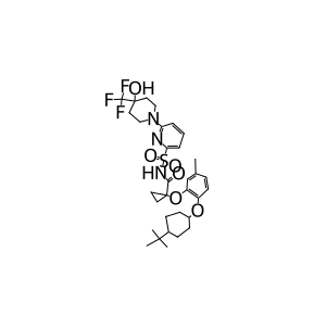 Cc1ccc(OC2CCC(C(C)(C)C)CC2)c(OC2(C(=O)NS(=O)(=O)c3cccc(N4CCC(O)(C(F)(F)F)CC4)n3)CC2)c1